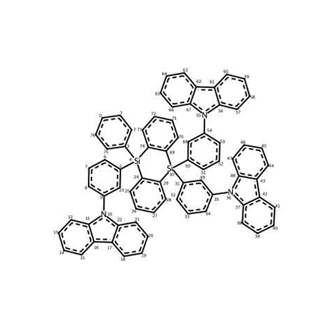 c1ccc([Si]2(c3cccc(-n4c5ccccc5c5ccccc54)c3)c3ccccc3[Si](c3cccc(-n4c5ccccc5c5ccccc54)c3)(c3cccc(-n4c5ccccc5c5ccccc54)c3)c3ccccc32)cc1